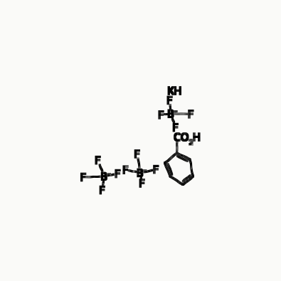 F[B-](F)(F)F.F[B-](F)(F)F.F[B-](F)(F)F.O=C(O)c1ccccc1.[KH]